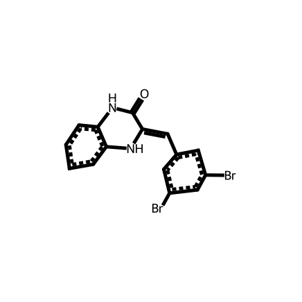 O=C1Nc2ccccc2N/C1=C\c1cc(Br)cc(Br)c1